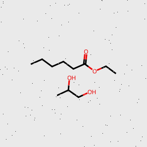 CC(O)CO.CCCCCC(=O)OCC